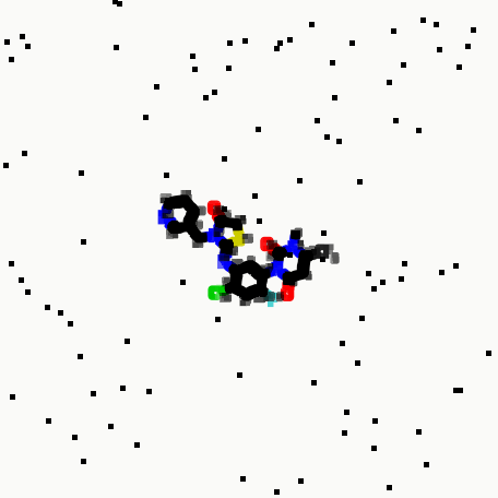 Cn1c(C(F)(F)F)cc(=O)n(-c2cc(N=C3SCC(=O)N3Cc3cccnc3)c(Cl)cc2F)c1=O